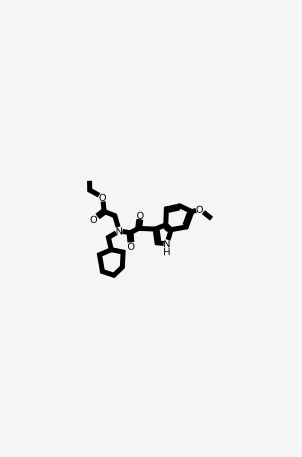 CCOC(=O)CN(CC1CCCCC1)C(=O)C(=O)c1c[nH]c2cc(OC)ccc12